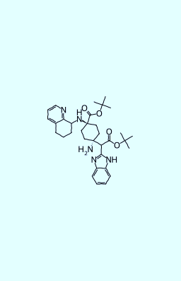 CC(C)(C)OC(=O)C(c1nc2ccccc2[nH]1)[C@]1(N)CC[C@@](NC2CCCc3cccnc32)(C(=O)OC(C)(C)C)CC1